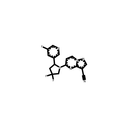 N#Cc1cnn2ccc(N3CC(F)(F)CC3c3cncc(F)c3)nc12